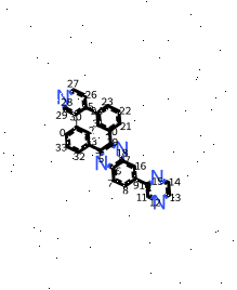 c1ccc(-c2nc3ccc(-c4cnccn4)cc3nc2-c2cccc(-c3ccncc3)c2)cc1